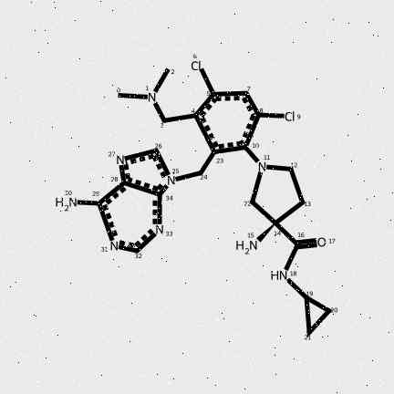 CN(C)Cc1c(Cl)cc(Cl)c(N2CC[C@](N)(C(=O)NC3CC3)C2)c1Cn1cnc2c(N)ncnc21